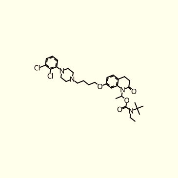 CCN(C(=O)OC(C)N1C(=O)CCc2ccc(OCCCCN3CCN(c4cccc(Cl)c4Cl)CC3)cc21)C(C)(C)C